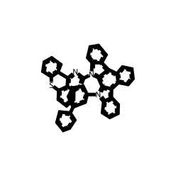 c1ccc(-c2cccc(-n3c4ccccc4c4c5ccccc5c5c6ccccc6n(-c6nc7c8c(cccc8n6)Sc6ccccc6-7)c5c43)c2)cc1